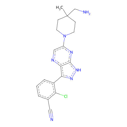 CC1(CN)CCN(c2cnc3c(-c4cccc(C#N)c4Cl)n[nH]c3n2)CC1